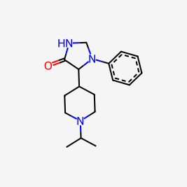 CC(C)N1CCC(C2C(=O)NCN2c2ccccc2)CC1